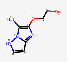 Nc1c(OCCO)nc2cc[nH]n12